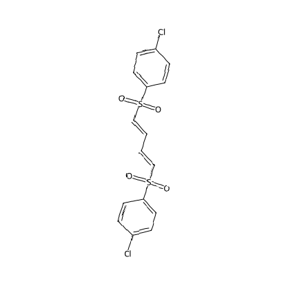 O=S(=O)(C=CC=CS(=O)(=O)c1ccc(Cl)cc1)c1ccc(Cl)cc1